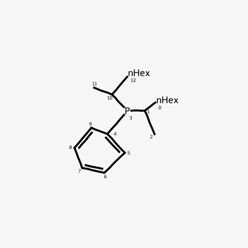 CCCCCCC(C)P(c1ccccc1)C(C)CCCCCC